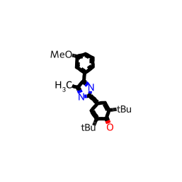 COc1cccc(C2=NC(=C3C=C(C(C)(C)C)C(=O)C(C(C)(C)C)=C3)N=C2C)c1